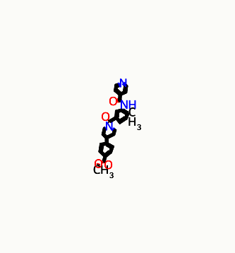 COC(=O)c1ccc(C2CCN(C(=O)c3ccc(C)c(NC(=O)c4ccncc4)c3)CC2)cc1